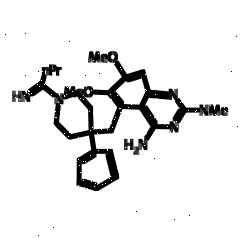 CCCC(=N)N1CCC(Cc2c(OC)c(OC)cc3nc(NC)nc(N)c23)(c2ccccc2)CC1